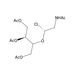 CC(=O)NC[C@@H](Cl)OC(COC(C)=O)[C@H](COC(C)=O)OC(C)=O